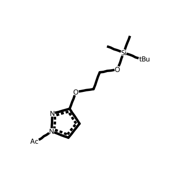 CC(=O)n1ccc(OCCO[Si](C)(C)C(C)(C)C)n1